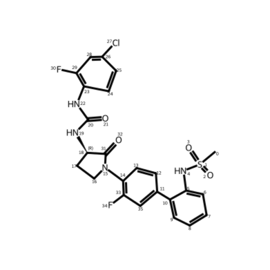 CS(=O)(=O)Nc1ccccc1-c1ccc(N2CC[C@@H](NC(=O)Nc3ccc(Cl)cc3F)C2=O)c(F)c1